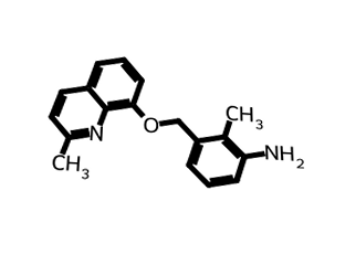 Cc1ccc2cccc(OCc3cccc(N)c3C)c2n1